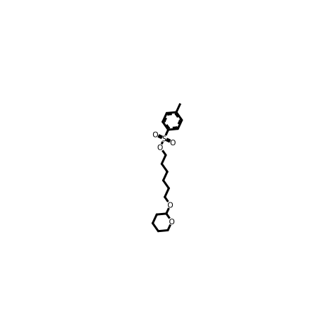 Cc1ccc(S(=O)(=O)OCCCCCCOC2CCCCO2)cc1